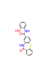 O=C(Nc1ccccc1O)c1ccc2c(c1)NC(=O)c1ccccc1S2